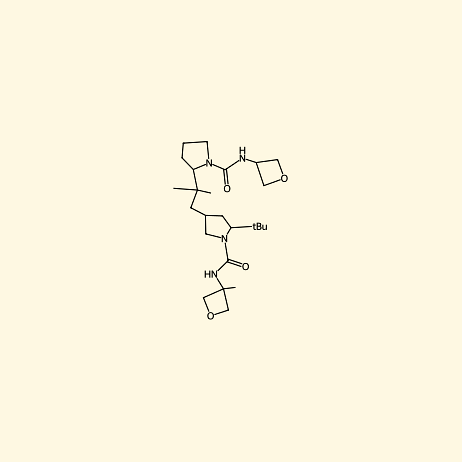 CC1(NC(=O)N2CC(CC(C)(C)C3CCCN3C(=O)NC3COC3)CC2C(C)(C)C)COC1